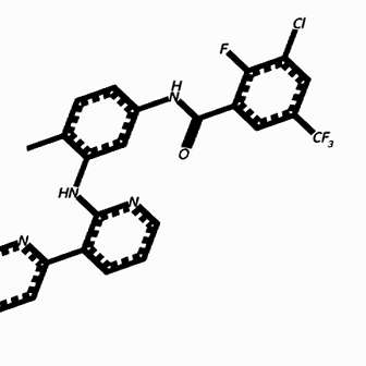 Cc1ccc(NC(=O)c2cc(C(F)(F)F)cc(Cl)c2F)cc1Nc1ncccc1-c1ccncn1